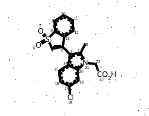 Cc1c(C2=CS(=O)(=O)c3ccccc32)c2ccc(Cl)cc2n1CC(=O)O